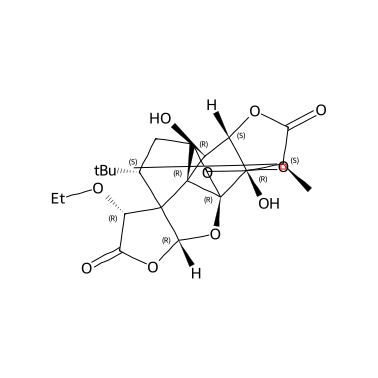 CCO[C@H]1C(=O)O[C@H]2O[C@]34C(=O)OC5C[C@@H](C(C)(C)C)C21[C@@]53[C@@H](O)[C@@H]1OC(=O)[C@@H](C)[C@@]14O